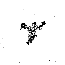 C=CC1C[C@]1(NC(=O)C1C[C@@H](OC(=O)N2Cc3cccc(F)c3C2)CN1C(=O)[C@H](CCC(=O)/C=C/C1CCC1)NC(=O)OC(C)(C)C)C(=O)NS(=O)(=O)C1CC1